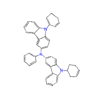 C1=CC(n2c3ccccc3c3cc(N(c4ccccc4)c4ccc5c(c4)c4ccccc4n5C4CC=CCC4)ccc32)=CCC1